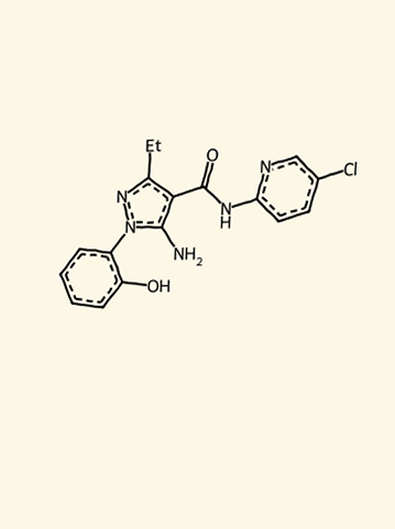 CCc1nn(-c2ccccc2O)c(N)c1C(=O)Nc1ccc(Cl)cn1